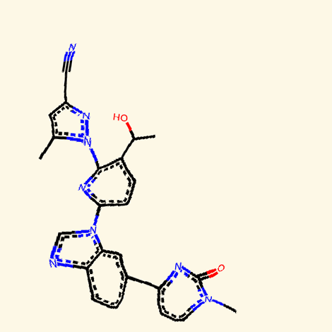 Cc1cc(C#N)nn1-c1nc(-n2cnc3ccc(-c4ccn(C)c(=O)n4)cc32)ccc1C(C)O